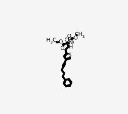 CCOC(=O)C(C)(CCc1cc(C#CCCCc2ccccc2)cs1)NC(=O)OC